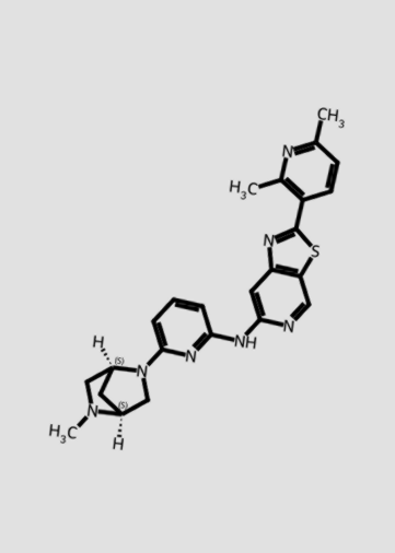 Cc1ccc(-c2nc3cc(Nc4cccc(N5C[C@@H]6C[C@H]5CN6C)n4)ncc3s2)c(C)n1